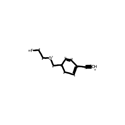 C#CC1=CCC(COCCF)C=C1